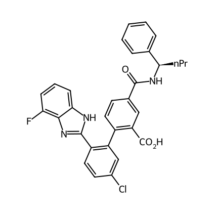 CCC[C@@H](NC(=O)c1ccc(-c2cc(Cl)ccc2-c2nc3c(F)cccc3[nH]2)c(C(=O)O)c1)c1ccccc1